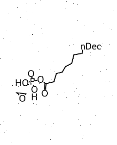 C1CO1.CCCCCCCCCCCCCCCCCC(=O)OP(=O)(O)O